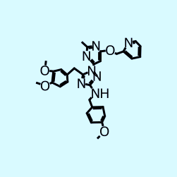 COc1ccc(CNc2nc(Cc3ccc(OC)c(OC)c3)n(-c3cc(OCc4ccccn4)nc(C)n3)n2)cc1